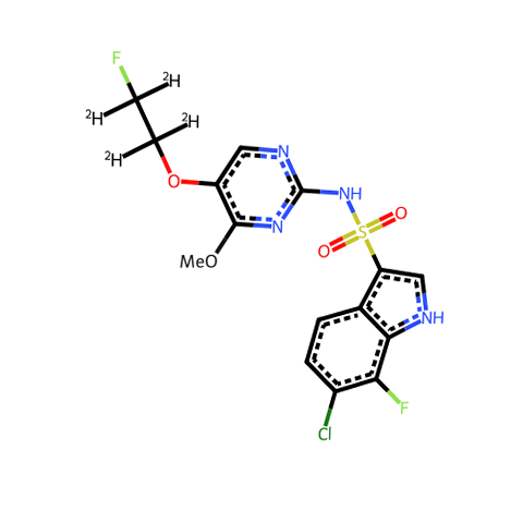 [2H]C([2H])(F)C([2H])([2H])Oc1cnc(NS(=O)(=O)c2c[nH]c3c(F)c(Cl)ccc23)nc1OC